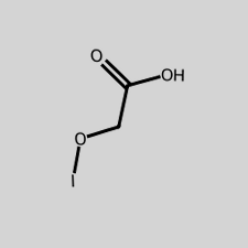 O=C(O)COI